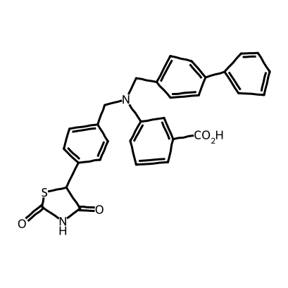 O=C1NC(=O)C(c2ccc(CN(Cc3ccc(-c4ccccc4)cc3)c3cccc(C(=O)O)c3)cc2)S1